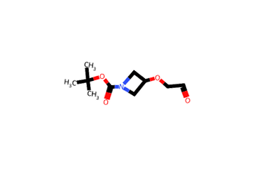 CC(C)(C)OC(=O)N1CC(OCC=O)C1